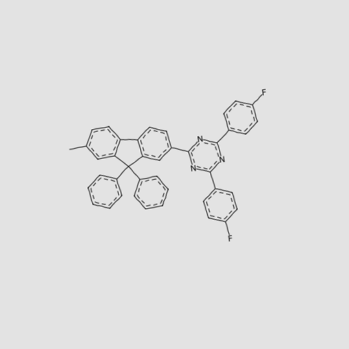 Cc1ccc2c(c1)C(c1ccccc1)(c1ccccc1)c1cc(-c3nc(-c4ccc(F)cc4)nc(-c4ccc(F)cc4)n3)ccc1-2